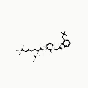 COC(=O)NC(CCC=CC(=O)N(C)C)C(=O)Nc1cccn(Cc2nc3cccc(CC(C)(C)C)c3[nH]2)c1=O